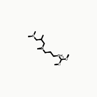 COC(OC)[SiH2]CCCN(C)CC(C)CN(C)C